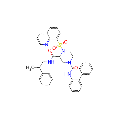 CC(CNC(=O)C1CN(C(=O)Nc2ccccc2-c2ccccc2)CCN1S(=O)(=O)c1cccc2cccnc12)c1ccccc1